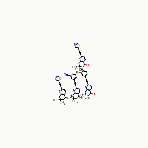 CC1(C)CC(=O)c2ccc(C#Cc3cccc(Br)c3)nc2C1.CC1(C)CC(=O)c2ccc(C#Cc3cccc(C#N)c3)nc2C1.CC1(C)CC(=O)c2ccc(C#Cc3cnco3)nc2C1.CC1(C)CC(=O)c2ccc(C#Cc3cncs3)nc2C1